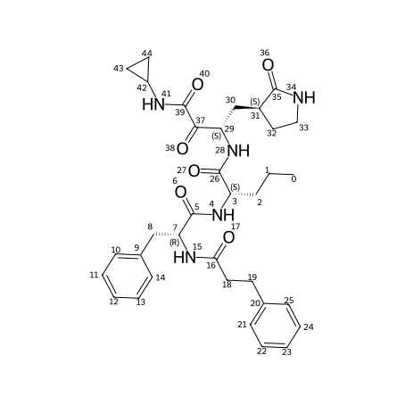 CCC[C@H](NC(=O)[C@@H](Cc1ccccc1)NC(=O)CCc1ccccc1)C(=O)N[C@@H](C[C@@H]1CCNC1=O)C(=O)C(=O)NC1CC1